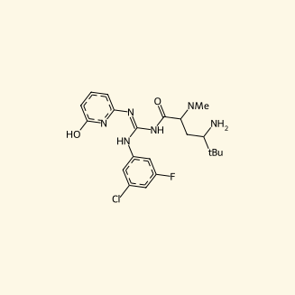 CNC(CC(N)C(C)(C)C)C(=O)N/C(=N/c1cccc(O)n1)Nc1cc(F)cc(Cl)c1